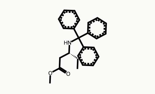 CC[C@H](CC(=O)OC)NC(c1ccccc1)(c1ccccc1)c1ccccc1